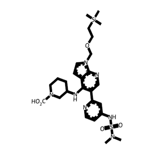 CN(C)S(=O)(=O)Nc1ccnc(-c2cnc3c(ccn3COCC[Si](C)(C)C)c2NC2CCCN(C(=O)O)C2)c1